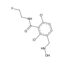 O=C(NCCF)c1c(Cl)ccc(CNO)c1Cl